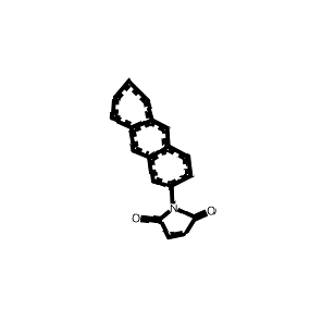 O=C1C=CC(=O)N1c1ccc2cc3ccccc3cc2c1